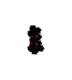 c1ccc(N(c2ccccc2)c2c(-c3cccc(C4(c5ccccc5)c5ccccc5-c5ccccc54)c3)cccc2-c2ccc(N(c3ccccc3)c3ccccc3)c3c2oc2ccccc23)cc1